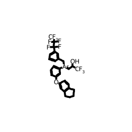 OC(C[As](Cc1cccc(C(F)(F)C(F)(F)C(F)(F)F)c1)c1cccc(Oc2ccc3c(c2)CCCC3)c1)C(F)(F)F